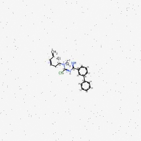 C=C/C=C\C[C@H](CC)N(C)/C(Cl)=N\C(=N)c1cccc(-c2ccccc2)c1